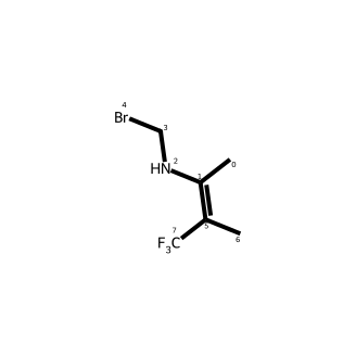 C/C(NCBr)=C(\C)C(F)(F)F